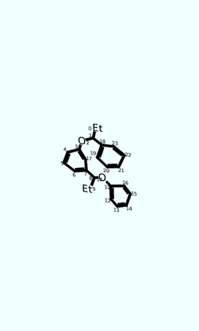 CCC(Oc1cccc(C(CC)Oc2ccccc2)c1)c1ccccc1